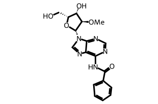 CO[C@@H]1[C@@H](O)[C@@H](CO)O[C@H]1n1cnc2c(NC(=O)c3ccccc3)ncnc21